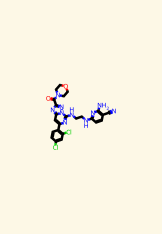 N#Cc1ccc(NCCNc2nc(-c3ccc(Cl)cc3Cl)cc3nc(C(=O)N4CCOCC4)nn23)nc1N